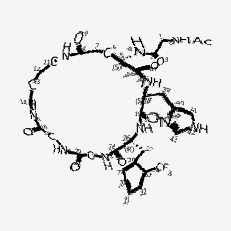 CC(=O)NCC(=O)N[C@H]1CCC(=O)NCCCCNC(=O)CNC(=O)CNC(=O)[C@@H](Cc2ccccc2C(F)(F)F)NC(=O)[C@H](Cc2c[nH]cn2)NC1=O